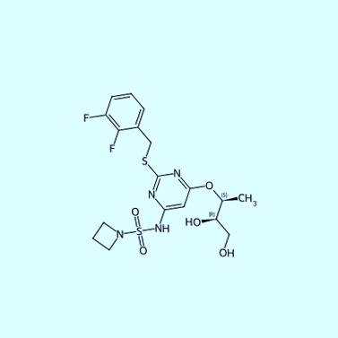 C[C@H](Oc1cc(NS(=O)(=O)N2CCC2)nc(SCc2cccc(F)c2F)n1)[C@H](O)CO